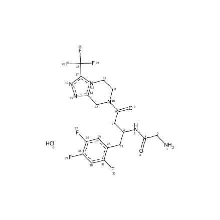 Cl.NCC(=O)NC(CC(=O)N1CCn2c(nnc2C(F)(F)F)C1)Cc1cc(F)c(F)cc1F